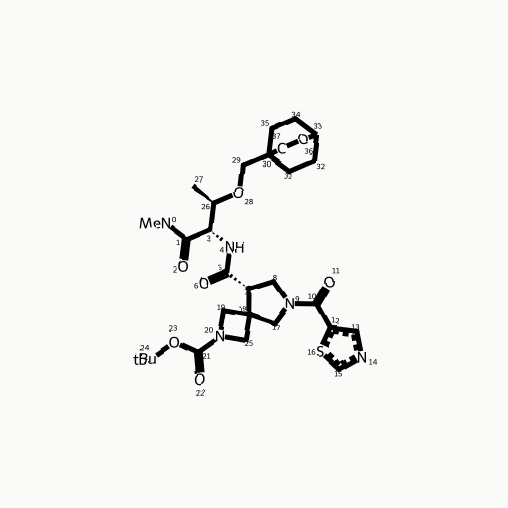 CNC(=O)[C@@H](NC(=O)[C@@H]1CN(C(=O)c2cncs2)CC12CN(C(=O)OC(C)(C)C)C2)[C@@H](C)OCC12CCC(CC1)OC2